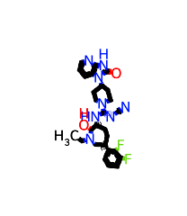 CCN1C[C@H](c2cccc(F)c2F)CC[C@@H](N/C(=N/C#N)N2CCC(n3c(=O)[nH]c4ncccc43)CC2)C1O